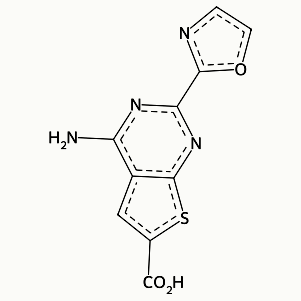 Nc1nc(-c2ncco2)nc2sc(C(=O)O)cc12